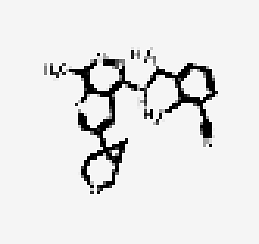 Cc1c(C#N)cccc1[C@@H](C)Nc1nnc(C)c2ncc(C34CCOCC3C4)cc12